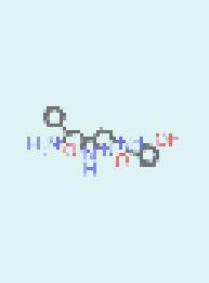 NC(=O)/C(=C\c1c[nH]c2nc(NC(=O)c3cccc(O)c3)ccc12)c1ccccc1